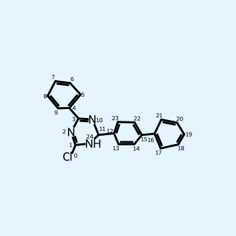 ClC1=NC(c2ccccc2)=NC(c2ccc(-c3ccccc3)cc2)N1